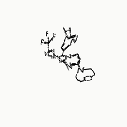 FC(F)(F)c1n[nH]c(-c2nc3nc(N4CCOCC4)ccn3c2-c2c[nH]cn2)n1